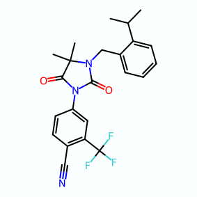 CC(C)c1ccccc1CN1C(=O)N(c2ccc(C#N)c(C(F)(F)F)c2)C(=O)C1(C)C